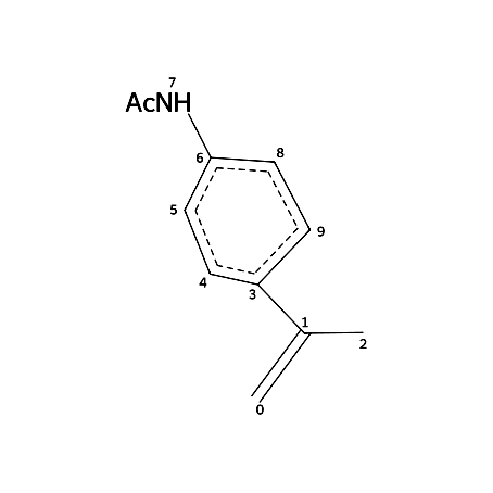 C=C(C)c1ccc(NC(C)=O)cc1